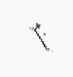 CCCCCCCCCCCCCCCCC(C)COS(=O)(=O)[O-].[K+]